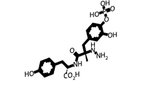 C[C@@](Cc1ccc(OP(=O)(O)O)c(O)c1)(NN)C(=O)N[C@@H](Cc1ccc(O)cc1)C(=O)O